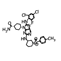 Cc1ccc(S(=O)(=O)N2CCC[C@@H](Nc3ncc4nc(Nc5c(F)cc(Cl)cc5Cl)n([C@H]5CC[C@@H](C(N)=O)CC5)c4n3)C2)cc1